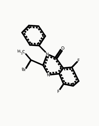 CC(Br)c1nc2c(F)ccc(F)c2c(=O)n1-c1ccccc1